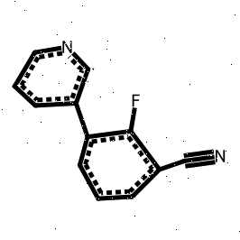 N#Cc1cccc(-c2[c]nccc2)c1F